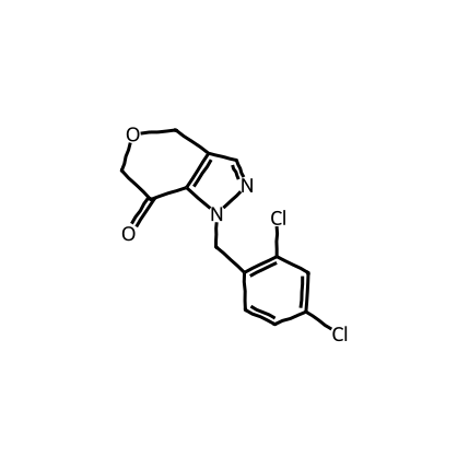 O=C1COCc2cnn(Cc3ccc(Cl)cc3Cl)c21